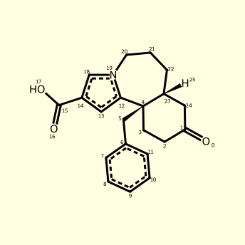 O=C1CC[C@]2(Cc3ccccc3)c3cc(C(=O)O)cn3CCC[C@@H]2C1